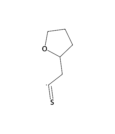 S=[C]CC1CCCO1